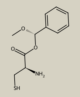 CO[C@@H](OC(=O)[C@@H](N)CS)c1ccccc1